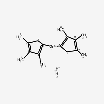 CC1=C(C)C(C)=[C]([Zr+2][C]2=C(C)C(C)=C(C)C2)C1.[H-].[H-]